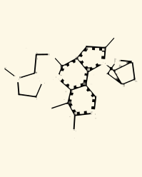 Cc1cc2c(O[C@@H](C)[C@@H]3CCCN3C)nc3c(F)c(Cl)ncc3c2n1C1C2CNC1C2